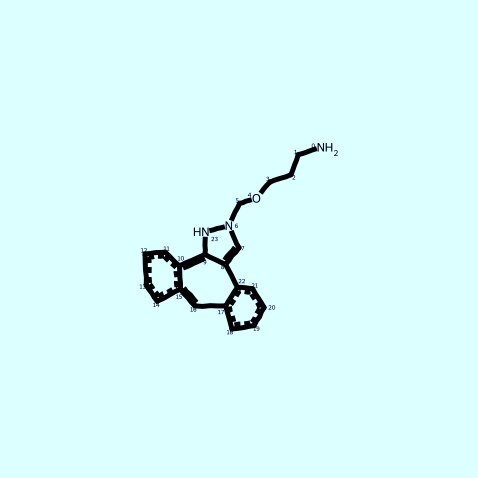 NCCCOCN1C=C2C(=c3ccccc3=Cc3ccccc32)N1